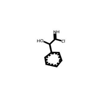 N=C(Cl)C(O)c1ccccc1